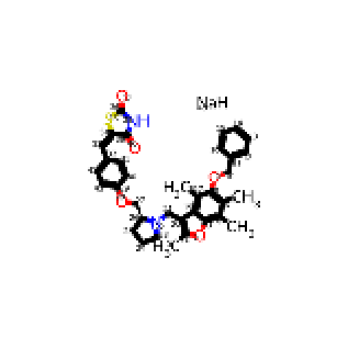 Cc1oc2c(C)c(C)c(OCc3ccccc3)c(C)c2c1CN1CCC[C@H]1COc1ccc(C=C2SC(=O)NC2=O)cc1.[NaH]